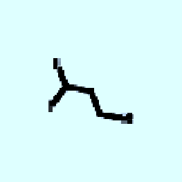 CCCCC(F)I